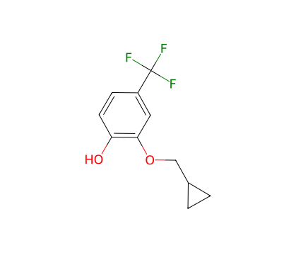 Oc1ccc(C(F)(F)F)cc1OCC1CC1